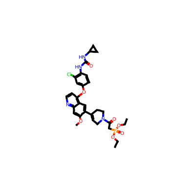 CCOP(=O)(CC(=O)N1CC=C(c2cc3c(Oc4ccc(NC(=O)NC5CC5)c(Cl)c4)ccnc3cc2OC)CC1)OCC